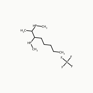 F[B-](F)(F)F.[CH2]C(PC)C(CCCCC)PC